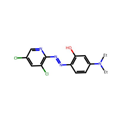 CCN(CC)c1ccc(N=Nc2ncc(Cl)cc2Cl)c(O)c1